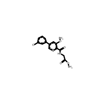 BOC(=O)CNC(=O)c1ncc(-c2cccc(Cl)c2)cc1OB